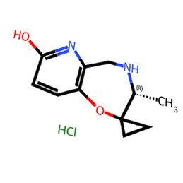 C[C@H]1NCc2nc(O)ccc2OC12CC2.Cl